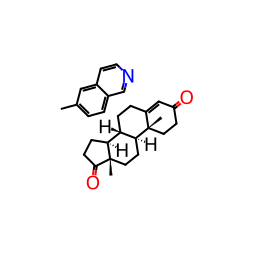 C[C@]12CCC(=O)C=C1CC[C@@H]1[C@@H]2CC[C@]2(C)C(=O)CC[C@@H]12.Cc1ccc2cnccc2c1